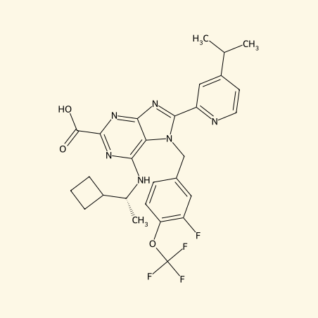 CC(C)c1ccnc(-c2nc3nc(C(=O)O)nc(N[C@H](C)C4CCC4)c3n2Cc2ccc(OC(F)(F)F)c(F)c2)c1